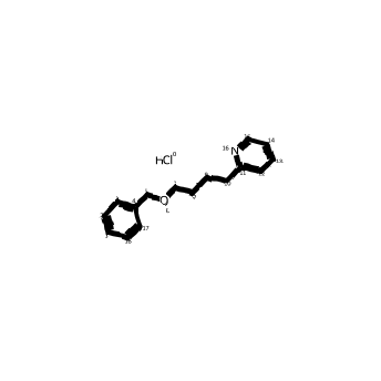 Cl.c1ccc(COCCCCc2ccccn2)cc1